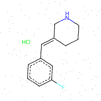 Cl.Fc1cccc(C=C2CCCNC2)c1